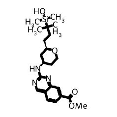 COC(=O)c1ccc2cnc(N[C@@H]3CCO[C@H](CCC(C)(C)[Si](C)(C)O)C3)nc2c1